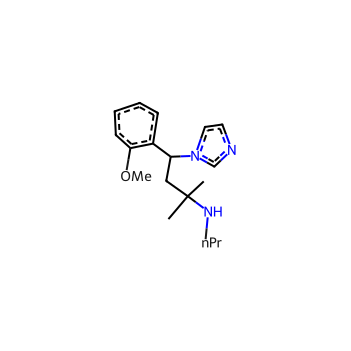 CCCNC(C)(C)CC(c1ccccc1OC)n1ccnc1